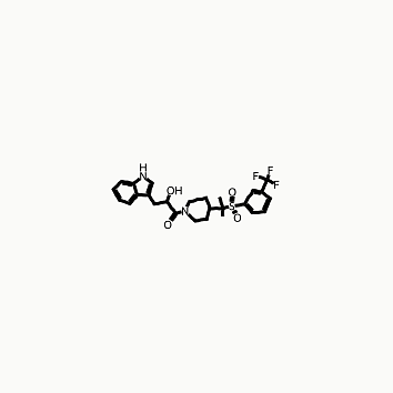 CC(C)(C1CCN(C(=O)C(O)Cc2c[nH]c3ccccc23)CC1)S(=O)(=O)c1cccc(C(F)(F)F)c1